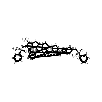 CC1C2CC3C4CC5c6c4c4c7c8c6c6c9c%10c%11c%12c%13c(c%108)C7=C(C2C43)C1(C[Si](C)(C)c1ccccc1)C%13(C[Si](C)(C)c1ccccc1)CC=%12C=%11C9CC65